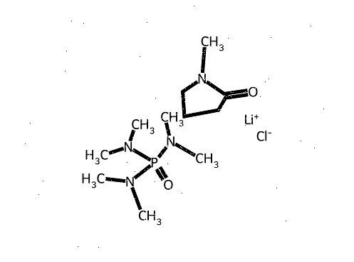 CN(C)P(=O)(N(C)C)N(C)C.CN1CCCC1=O.[Cl-].[Li+]